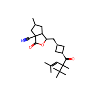 CC(C)=CC(C)(C(=O)[C@H]1C[C@@H](CC2OC(=O)C3(C#N)CC(C)CC23)C1)C(C)(C)C